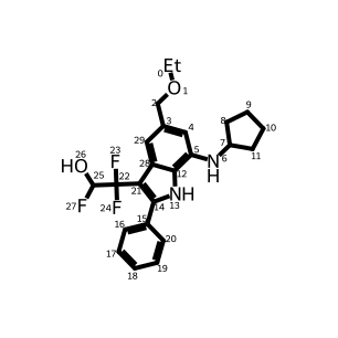 CCOCc1cc(NC2CCCC2)c2[nH]c(-c3ccccc3)c(C(F)(F)C(O)F)c2c1